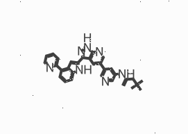 C=C(CC(C)(C)C)Nc1cncc(-c2cnc3[nH]nc(-c4cc5c(-c6ccccn6)cccc5[nH]4)c3c2)c1